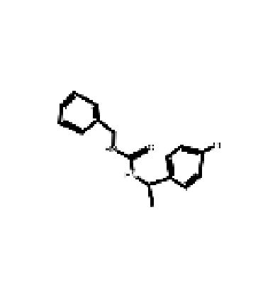 CC(NC(=O)NCc1ccccc1)c1ccc(Cl)cc1